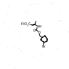 CCOC(=O)C=C(C)NC(=O)OCc1cccc(Br)c1